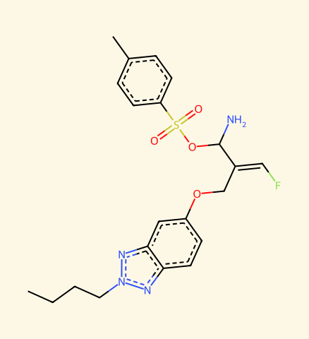 CCCCn1nc2ccc(OC/C(=C\F)C(N)OS(=O)(=O)c3ccc(C)cc3)cc2n1